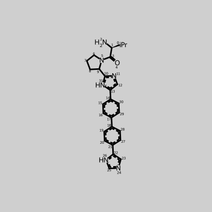 CC(C)[C@H](N)C(=O)N1CCCC1c1ncc(-c2ccc(-c3ccc(-c4cnc[nH]4)cc3)cc2)[nH]1